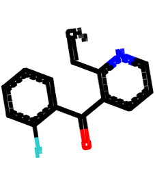 C=Cc1ncccc1C(=O)c1ccccc1F